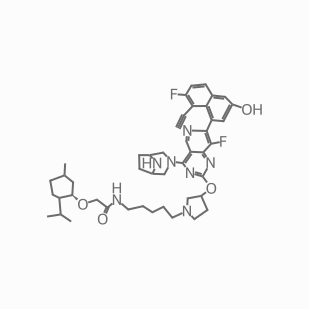 C#Cc1c(F)ccc2cc(O)cc(-c3ncc4c(N5CC6CCC(C5)N6)nc(OC5CCN(CCCCCNC(=O)CO[C@@H]6CC(C)CCC6C(C)C)C5)nc4c3F)c12